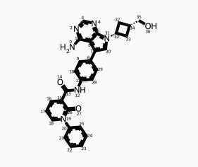 Nc1ncnc2c1c(-c1ccc(NC(=O)c3cccn(-c4ccccc4)c3=O)cc1)cn2[C@H]1C[C@@H](CO)C1